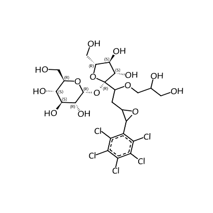 OCC(O)COC(CC1OC1c1c(Cl)c(Cl)c(Cl)c(Cl)c1Cl)[C@@]1(O[C@H]2O[C@H](CO)[C@@H](O)[C@H](O)[C@H]2O)O[C@H](CO)[C@@H](O)[C@@H]1O